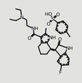 CCN(CC)CCNC(=O)c1c(C)[nH]c2c1CCC/C2=C1/C(=O)Nc2ccc(F)cc21.Cc1ccc(S(=O)(=O)O)cc1